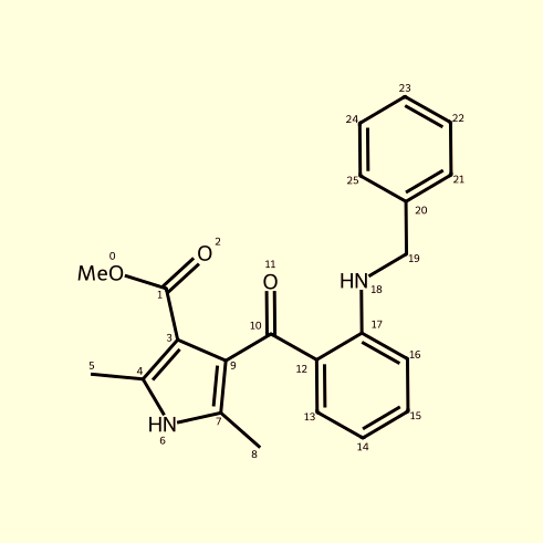 COC(=O)c1c(C)[nH]c(C)c1C(=O)c1ccccc1NCc1ccccc1